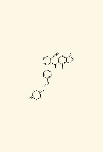 Cc1c(Nc2c(C#N)cncc2-c2ccc(OCCN3CCNCC3)cc2)ccc2[nH]ccc12